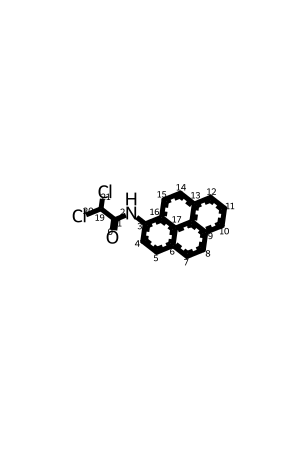 O=C(Nc1ccc2ccc3cccc4ccc1c2c34)C(Cl)Cl